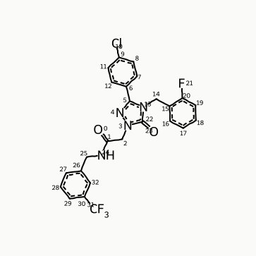 O=C(Cn1nc(-c2ccc(Cl)cc2)n(Cc2ccccc2F)c1=O)NCc1cccc(C(F)(F)F)c1